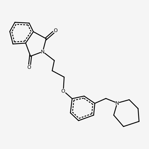 O=C1c2ccccc2C(=O)N1CCCOc1cccc(CN2CCCCC2)c1